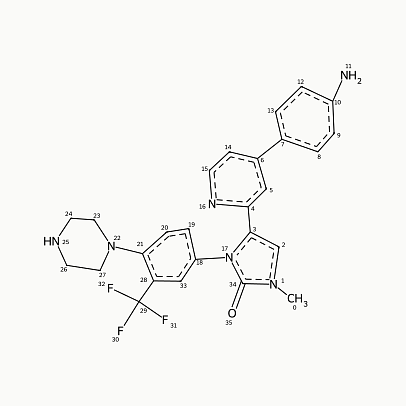 Cn1cc(-c2cc(-c3ccc(N)cc3)ccn2)n(-c2ccc(N3CCNCC3)c(C(F)(F)F)c2)c1=O